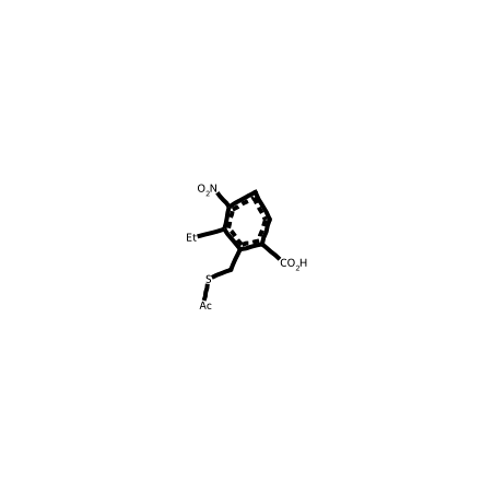 CCc1c([N+](=O)[O-])ccc(C(=O)O)c1CSC(C)=O